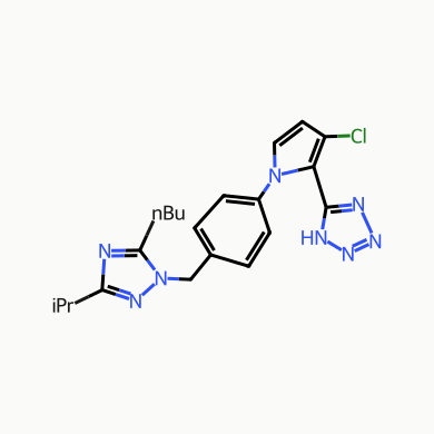 CCCCc1nc(C(C)C)nn1Cc1ccc(-n2ccc(Cl)c2-c2nnn[nH]2)cc1